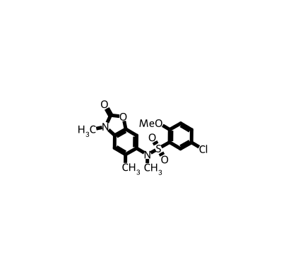 COc1ccc(Cl)cc1S(=O)(=O)N(C)c1cc2oc(=O)n(C)c2cc1C